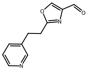 O=Cc1coc(CCc2cccnc2)n1